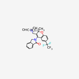 CN(C=O)CC1=C(N2Cc3ccccc3C2=O)c2cc(C(F)(F)C(F)(F)F)ccc2OC1(C)C